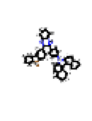 c1ccc2c(c1)ccc1c2c2c3ccccc3ccc2n1-c1ccc(-c2nc3ccccc3nc2-c2ccc3sc4ccccc4c3c2)cc1